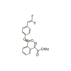 CO/N=C(/C(=O)OC)c1ccccc1COc1ccc(C=C(F)F)cc1